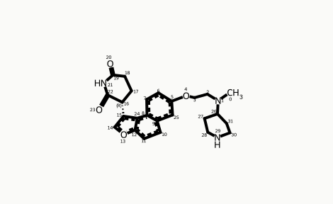 CN(CCOc1ccc2c(ccc3occ([C@H]4CCC(=O)NC4=O)c32)c1)C1CCNCC1